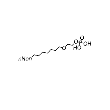 CCCCCCCCCCCCCCCCOCCOP(=O)(O)O